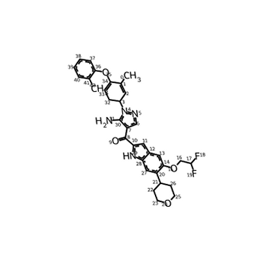 CC1=CC(n2ncc(C(=O)c3cc4cc(OCC(F)F)c(C5CCOCC5)cc4[nH]3)c2N)CC=C1Oc1ccccc1C